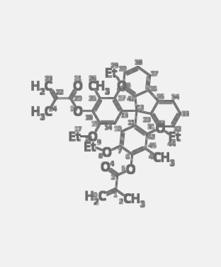 C=C(C)C(=O)Oc1c(OCC)cc(C2(c3cc(OCC)c(OC(=O)C(=C)C)c(C)c3OCC)c3ccccc3-c3ccccc32)c(OCC)c1C